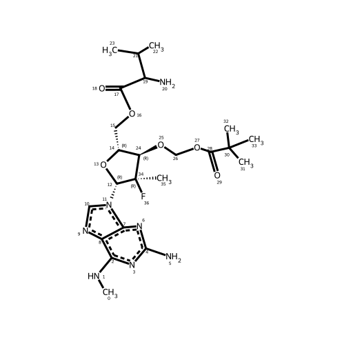 CNc1nc(N)nc2c1ncn2[C@@H]1O[C@H](COC(=O)C(N)C(C)C)[C@@H](OCOC(=O)C(C)(C)C)[C@@]1(C)F